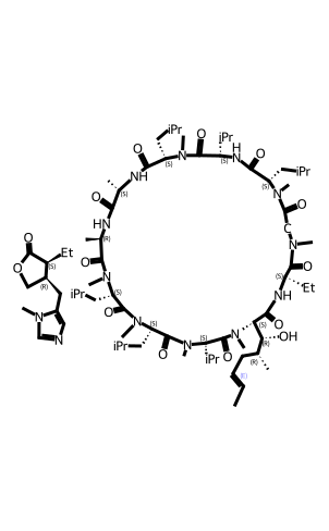 C/C=C/C[C@@H](C)[C@@H](O)[C@H]1C(=O)N[C@@H](CC)C(=O)N(C)CC(=O)N(C)[C@@H](CC(C)C)C(=O)N[C@@H](C(C)C)C(=O)N(C)[C@@H](CC(C)C)C(=O)N[C@@H](C)C(=O)N[C@H](C)C(=O)N(C)[C@@H](CC(C)C)C(=O)N(C)[C@@H](CC(C)C)C(=O)N(C)[C@@H](C(C)C)C(=O)N1C.CC[C@@H]1C(=O)OC[C@@H]1Cc1cncn1C